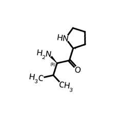 CC(C)[C@@H](N)C(=O)[C]1CCCN1